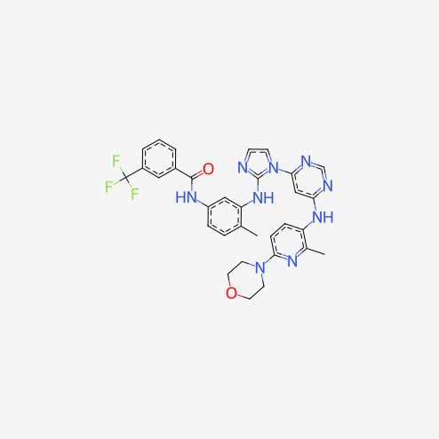 Cc1ccc(NC(=O)c2cccc(C(F)(F)F)c2)cc1Nc1nccn1-c1cc(Nc2ccc(N3CCOCC3)nc2C)ncn1